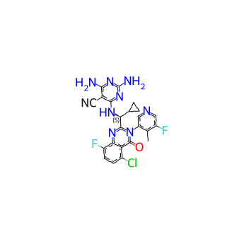 Cc1c(F)cncc1-n1c([C@@H](Nc2nc(N)nc(N)c2C#N)C2CC2)nc2c(F)ccc(Cl)c2c1=O